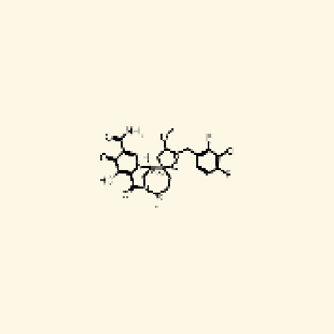 COC1C[C@]2(CC[C@H](C)N3C[C@H]2n2cc(C(N)=O)c(=O)c(O)c2C3=O)ON1Cc1ccc(F)c(Cl)c1F